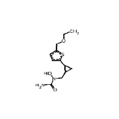 CCOCc1ccc(C2CC2CN(O)C(N)=O)s1